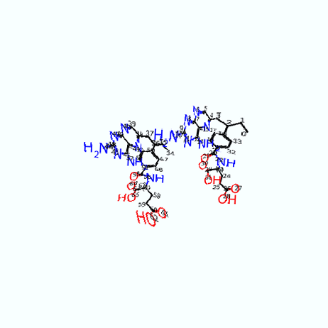 CCC(Cc1cnc2nc(N)nc(N)c2n1)c1ccc(C(=O)N[C@@H](CCC(=O)O)C(=O)O)cc1.CCC(Cc1cnc2nc(N)nc(N)c2n1)c1ccc(C(=O)N[C@@H](CCC(=O)O)C(=O)O)cc1